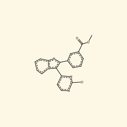 COC(=O)c1cccc(-c2nc3ccccn3c2-c2ccnc(Cl)n2)c1